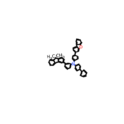 CC1(C)c2ccccc2-c2cc(-c3cccc(N(c4ccc(-c5ccccc5)cc4)c4ccc(-c5ccc6c(c5)oc5ccccc56)cc4)c3)ccc21